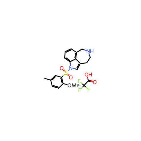 COc1ccc(C)cc1S(=O)(=O)n1cc2c3c(cccc31)CNCC2.O=C(O)C(F)(F)F